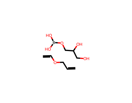 C=CCOC=C.OCC(O)COB(O)O